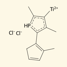 CC1=C(c2[pH]c(C)[c]([Ti+2])c2C)CC=C1.[Cl-].[Cl-]